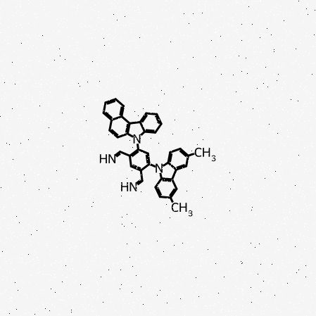 Cc1ccc2c(c1)c1cc(C)ccc1n2-c1cc(-n2c3ccccc3c3c4ccccc4ccc32)c(C=N)cc1C=N